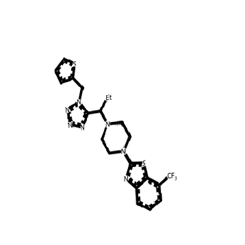 CCC(c1nnnn1Cc1cccs1)N1CCN(c2nc3cccc(C(F)(F)F)c3s2)CC1